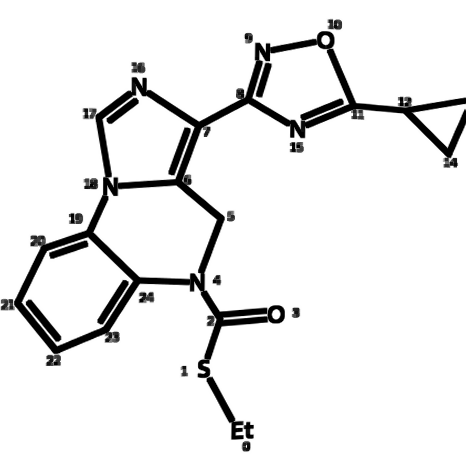 CCSC(=O)N1Cc2c(-c3noc(C4CC4)n3)ncn2-c2ccccc21